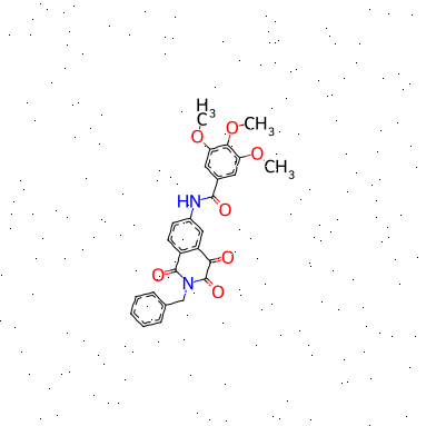 COc1cc(C(=O)Nc2ccc3c(c2)C(=O)C(=O)N(Cc2ccccc2)C3=O)cc(OC)c1OC